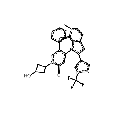 Cn1ccc2cc(-c3cnn(C(F)(F)F)c3)n(-c3cc(=O)n(C4CC(O)C4)cc3-c3ccccc3)c2c1=O